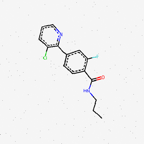 CCCNC(=O)c1ccc(-c2ncccc2Cl)cc1F